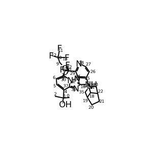 CC(C)(O)c1ccc(OCC(F)(F)F)n2nc(NC3C4CCC3CN(c3ccnc(C(F)(F)F)c3)C4)nc12